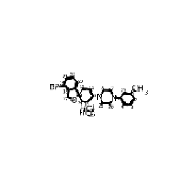 Cc1cccc(N2CCN([C@H]3CC[C@@]4(CC3)OCc3c(Br)cccc34)CC2)c1.Cl.Cl